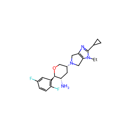 CCn1c(C2CC2)nc2c1CN([C@H]1CO[C@H](c3cc(F)ccc3F)[C@@H](N)C1)C2